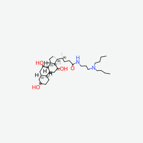 CCCCN(CCCC)CCCNC(=O)CC[C@@H](C)[C@H]1CC[C@H]2[C@@H]3[C@H](O)C[C@@H]4C[C@H](O)CC[C@]4(C)[C@H]3C[C@H](O)[C@]12C